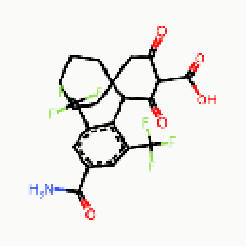 NC(=O)c1cc(C(F)(F)F)c(C2C(=O)C(C(=O)O)C(=O)CC23CCCCC3)c(C(F)(F)F)c1